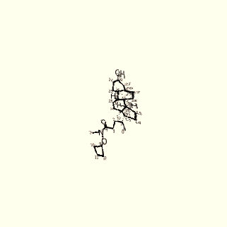 CC(CCC(=O)N(C)OC1CCC1)[C@H]1CC[C@H]2[C@@H]3CC=C4C[C@@H](O)CC[C@]4(C)[C@H]3CC[C@]12C